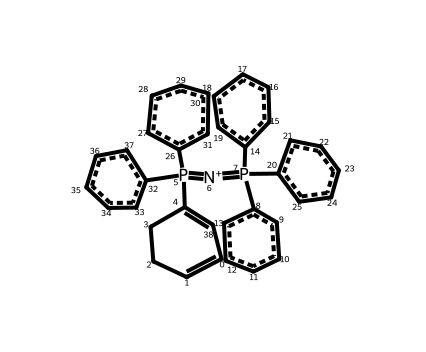 C1=CCCC(P(=[N+]=P(c2ccccc2)(c2ccccc2)c2ccccc2)(c2ccccc2)c2ccccc2)=C1